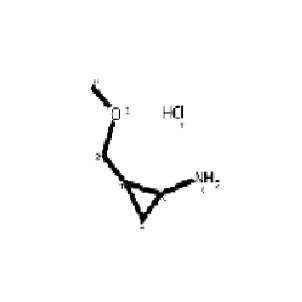 COCC1CC1N.Cl